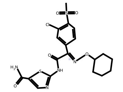 CS(=O)(=O)c1ccc(/C(=N\OC2CCCCC2)C(=O)Nc2ncc(C(N)=O)s2)cc1Cl